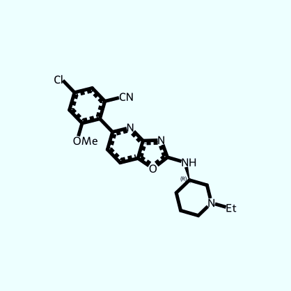 CCN1CCC[C@@H](Nc2nc3nc(-c4c(C#N)cc(Cl)cc4OC)ccc3o2)C1